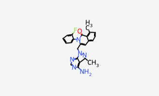 Cc1nn(Cc2cc3cccc(C)c3c(=O)n2-c2ccccc2F)c2ncnc(N)c12